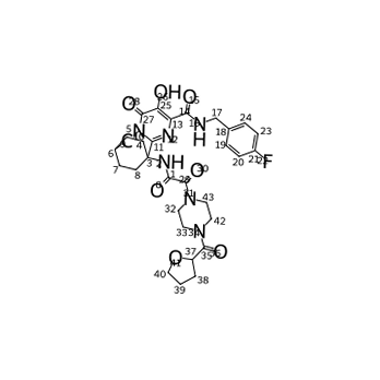 O=C(NC12CCC(CC1)Cn1c2nc(C(=O)NCc2ccc(F)cc2)c(O)c1=O)C(=O)N1CCN(C(=O)C2CCCO2)CC1